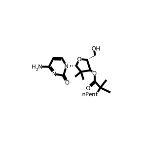 CCCCCC(C)(C)C(=O)OC1[C@@H](CO)O[C@@H](n2ccc(N)nc2=O)C1(C)C